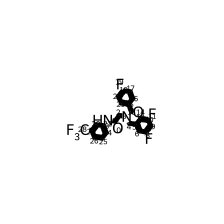 O=C(CN(Cc1cc(F)cc(F)c1)C(=O)c1ccc(F)cc1)Nc1cccc(C(F)(F)F)c1